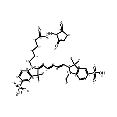 CCN1c2ccc(S(=O)(=O)O)cc2C(C)(C)C1/C=C/C=C/C=C1/N(CCCCCC(=O)ONC2C(=O)CCC2=O)c2ccc(S(=O)(=O)O)cc2C1(C)C